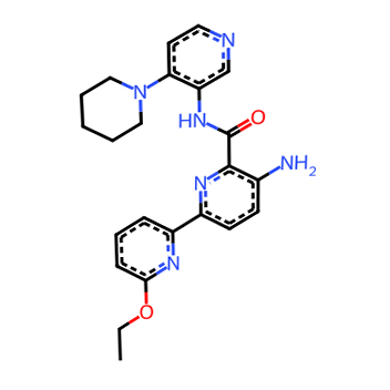 CCOc1cccc(-c2ccc(N)c(C(=O)Nc3cnccc3N3CCCCC3)n2)n1